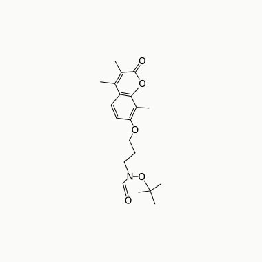 Cc1c(C)c2ccc(OCCCN(C=O)OC(C)(C)C)c(C)c2oc1=O